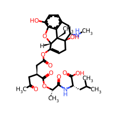 CC[C@]12c3c4ccc(O)c3O[C@H]1C(OC(=O)C[C@H](CC(C)=O)C(=O)O[C@@H](C)C(=O)N[C@@H](CC(C)C)C(=O)O)=CC[C@@]2(O)[C@H](NC)C4